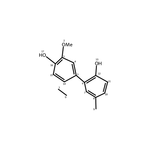 CC.COc1cc(-c2cc(C)ccc2O)ccc1O